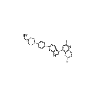 Cc1cc(-c2cnc3cc(-c4ccc(C5CCN(CC(C)C)CC5)cc4)ccn23)c2cc(F)ccc2n1